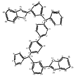 c1ccc(N(c2ccc(-c3ccc(N(c4ccccc4)c4cccc(-c5nc6ccccc6o5)c4)cc3)cc2)c2cccc(-c3nc4ccccc4o3)c2)cc1